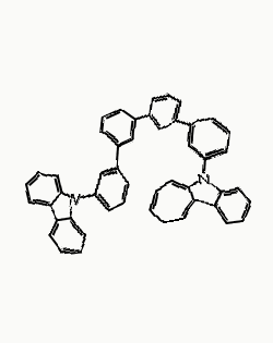 C1=CCC=c2c(n(-c3cccc(-c4cccc(-c5cccc(-c6cccc(-n7c8ccccc8c8ccccc87)c6)c5)c4)c3)c3ccccc23)=C1